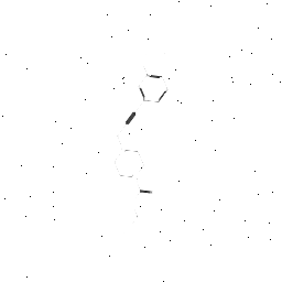 CCOC(=O)N1CCN(CC#Cc2cccc(OC)c2)CC1